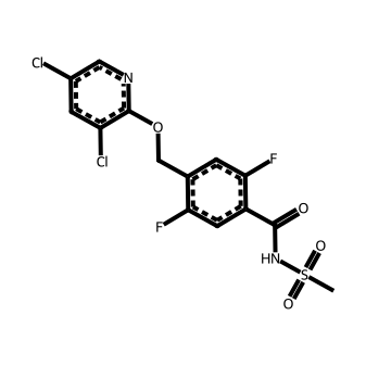 CS(=O)(=O)NC(=O)c1cc(F)c(COc2ncc(Cl)cc2Cl)cc1F